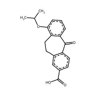 CC(C)Oc1cccc2c1CCc1cc(C(=O)O)ccc1C2=O